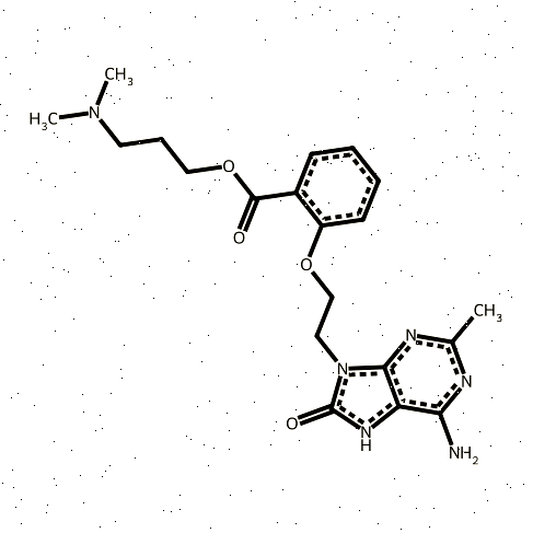 Cc1nc(N)c2[nH]c(=O)n(CCOc3ccccc3C(=O)OCCCN(C)C)c2n1